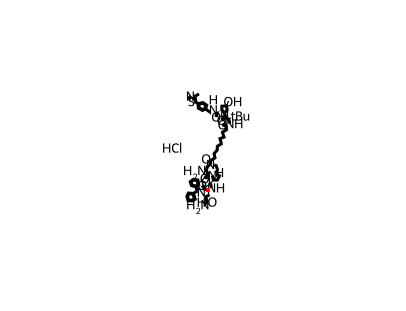 Cc1ncsc1-c1ccc(CNC(=O)[C@@H]2C[C@@H](O)CN2C(=O)[C@@H](NC(=O)CCCCCCCCCC(=O)N2CC[C@H]3CC[C@@H](C(=O)N[C@@H](CCC(N)=O)C(=O)NC(c4ccccc4)c4ccccc4)N3C(=O)[C@@H](N)C2)C(C)(C)C)cc1.Cl